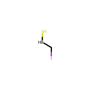 SBCI